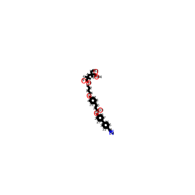 CCC(C)(CC(C)(C)C(=O)OCCCCOc1ccc(/C=C/C(=O)Oc2ccc(-c3ccc(C#N)cc3)cc2)cc1)C(=O)OC